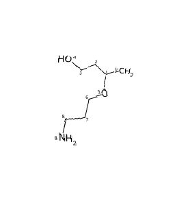 CC(CCO)OCCCN